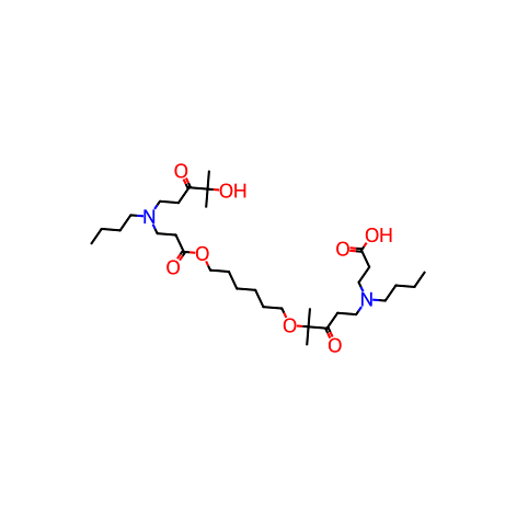 CCCCN(CCC(=O)OCCCCCCOC(C)(C)C(=O)CCN(CCCC)CCC(=O)O)CCC(=O)C(C)(C)O